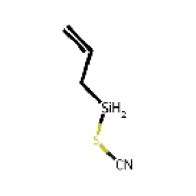 C=CC[SiH2]SC#N